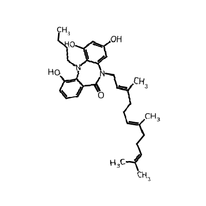 CCCCN1c2c(O)cccc2C(=O)N(C/C=C(\C)CC/C=C(\C)CCC=C(C)C)c2cc(O)cc(O)c21